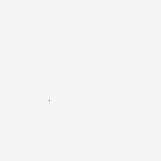 CC1CCC(C(C)C)C(OC(=O)CCCCC(=O)O)C1